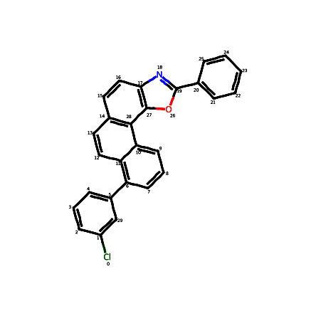 Clc1cccc(-c2cccc3c2ccc2ccc4nc(-c5ccccc5)oc4c23)c1